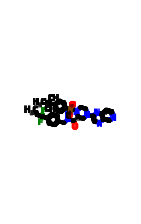 CCC(F)(F)c1ccc(CNC(=O)[C@H]2CN(c3cnc4cnccc4n3)CCN2S(=O)(=O)c2ccc(C(C)(C)C)cc2)cc1